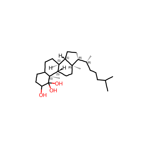 CC(C)CCC[C@@H](C)[C@H]1CC[C@H]2[C@@H]3CCC4CCC(O)C(O)(O)[C@]4(C)[C@H]3CC[C@]12C